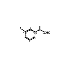 O=CNc1cccc(F)c1